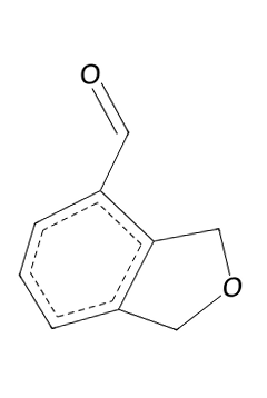 O=Cc1cccc2c1COC2